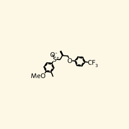 C=C(COc1ccc(C(F)(F)F)cc1)C[S+]([O-])c1ccc(OC)c(C)c1